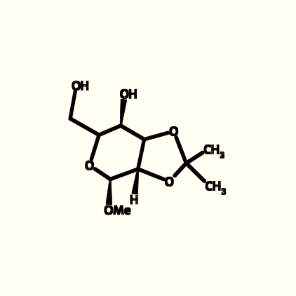 CO[C@H]1OC(CO)[C@@H](O)C2OC(C)(C)O[C@@H]21